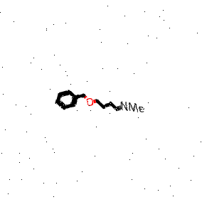 CNCCCCOCc1ccccc1